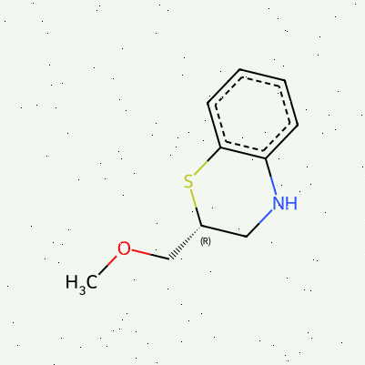 COC[C@H]1CNc2ccccc2S1